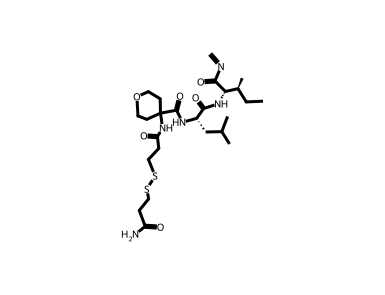 C=NC(=O)[C@@H](NC(=O)[C@H](CC(C)C)NC(=O)C1(NC(=O)CCSSCCC(N)=O)CCOCC1)[C@@H](C)CC